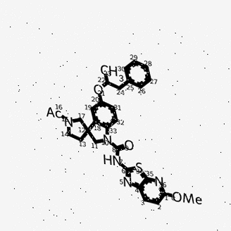 COc1ccc2nc(NC(=O)N3CC4(CCN(C(C)=O)C4)c4cc(OC(C)Cc5ccccc5)ccc43)sc2n1